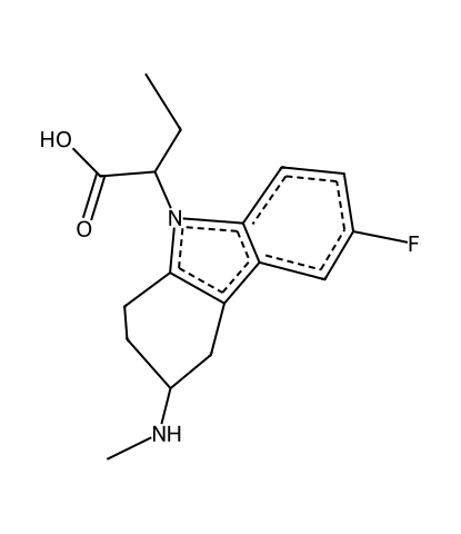 CCC(C(=O)O)n1c2c(c3cc(F)ccc31)CC(NC)CC2